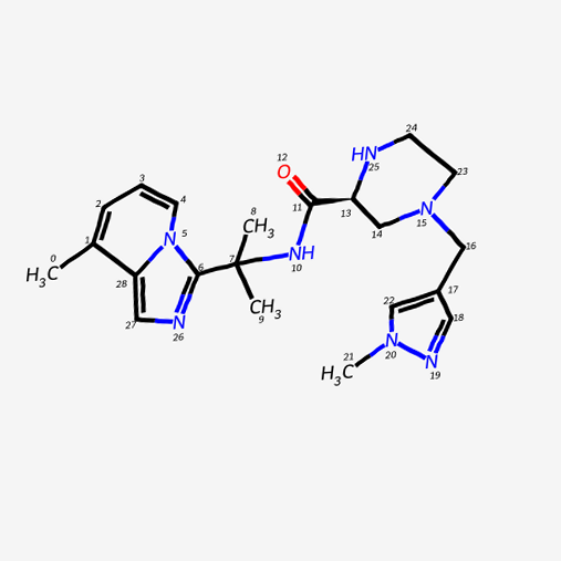 Cc1cccn2c(C(C)(C)NC(=O)[C@@H]3CN(Cc4cnn(C)c4)CCN3)ncc12